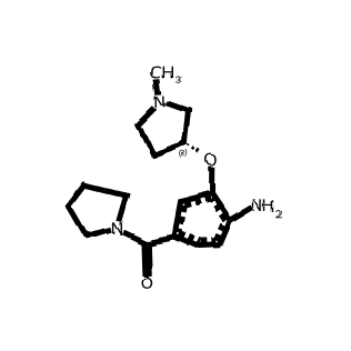 CN1CC[C@@H](Oc2cc(C(=O)N3CCCC3)ccc2N)C1